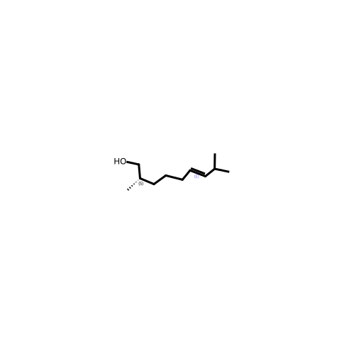 CC(C)/C=C/CCC[C@H](C)CO